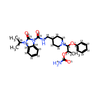 CC(OC(N)=O)C(Oc1ccccc1)N1CCC(CNC(=O)n2c(=O)n(C(C)C)c3ccccc32)CC1